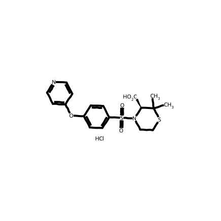 CC1(C)SCCN(S(=O)(=O)c2ccc(Oc3ccncc3)cc2)[C@H]1C(=O)O.Cl